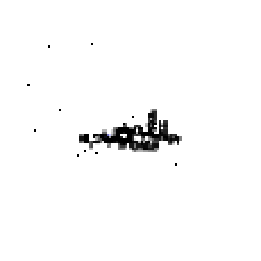 C/C=C/c1ccc(OCC(O)CNC(C)C)c(OC)c1